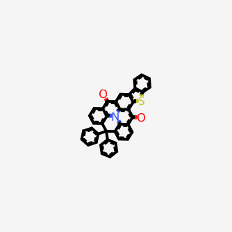 O=c1c2cccc3c2n2c4c(cccc4c(=O)c4c5sc6ccccc6c5cc1c42)C3(c1ccccc1)c1ccccc1